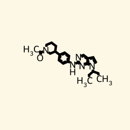 CCC(CC)n1ccc2cnc(Nc3ccc(C4CCCN(C(C)=O)C4)cc3)nc21